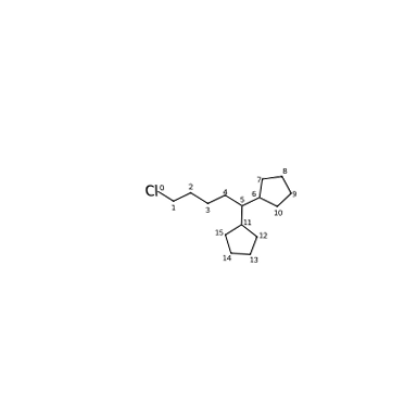 ClCCCCC(C1CCCC1)C1CCCC1